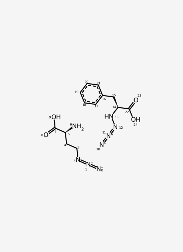 [N-]=[N+]=NCC[C@H](N)C(=O)O.[N-]=[N+]=NN[C@@H](Cc1ccccc1)C(=O)O